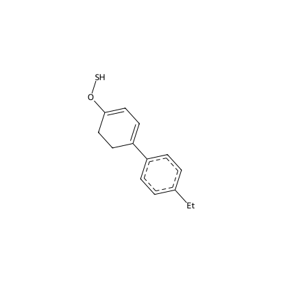 CCc1ccc(C2=CC=C(OS)CC2)cc1